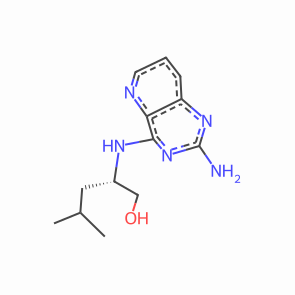 CC(C)C[C@@H](CO)Nc1nc(N)nc2cccnc12